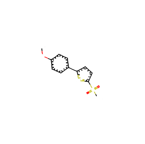 CCCCOc1ccc(-c2ccc(S(C)(=O)=O)s2)cc1